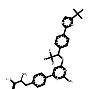 CC(C)(C)c1csc(-c2ccc(C(Oc3cc(-c4ccc(C[C@H](N)C(=O)O)cc4)nc(N)n3)C(F)(F)F)cc2)n1